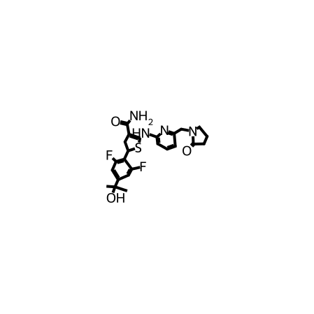 CC(C)(O)c1cc(F)c(C2CC(C(N)=O)=C(Nc3cccc(CN4CCCC4=O)n3)S2)c(F)c1